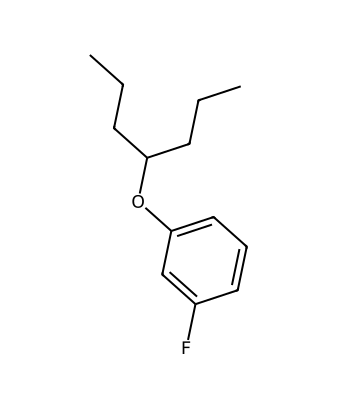 CCCC(CCC)Oc1cccc(F)c1